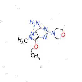 CCOc1c2nc(N3CCOCC3)nc(N)c2nn1C